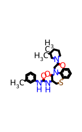 Cc1cccc(NC(=O)NC2CSc3ccccc3N(CC(=O)N3CCCC(C)(C)C3)C2=O)c1